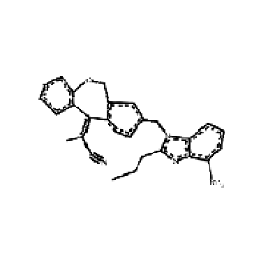 CCCc1nc2c(N)cccc2n1Cc1ccc2c(c1)COc1ccccc1C2=C(C)C#N